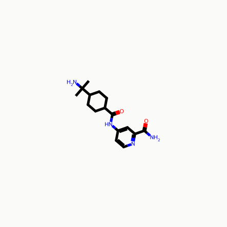 CC(C)(N)C1CCC(C(=O)Nc2ccnc(C(N)=O)c2)CC1